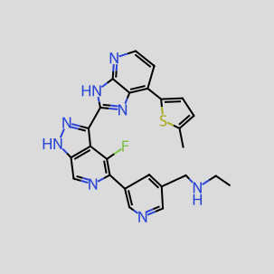 CCNCc1cncc(-c2ncc3[nH]nc(-c4nc5c(-c6ccc(C)s6)ccnc5[nH]4)c3c2F)c1